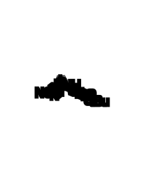 C[C@H]1C[C@@H](NCc2ccc(N3CCN(C(=O)OC(C)(C)C)CC3)cc2)CN(c2ccc(C#N)c3nccnc23)C1